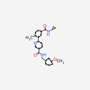 COc1cccc(CNC(=O)c2ccc(-c3cc(C(=O)NC4CC4)ccc3C)nc2)c1